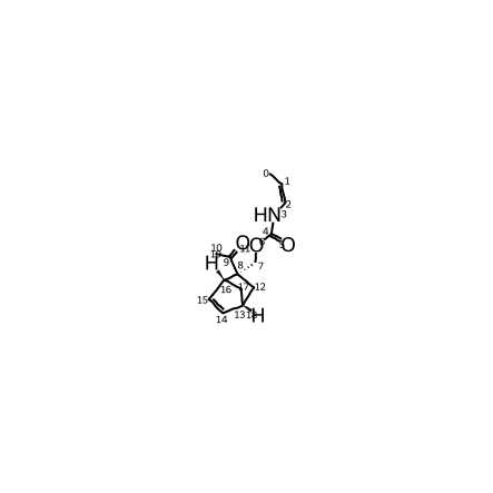 C/C=C\NC(=O)OC[C@]1(C(C)=O)C[C@@H]2C=C[C@H]1C2